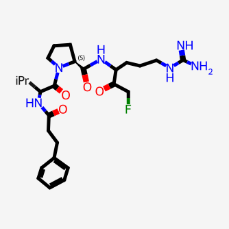 CC(C)C(NC(=O)CCc1ccccc1)C(=O)N1CCC[C@H]1C(=O)NC(CCCNC(=N)N)C(=O)CF